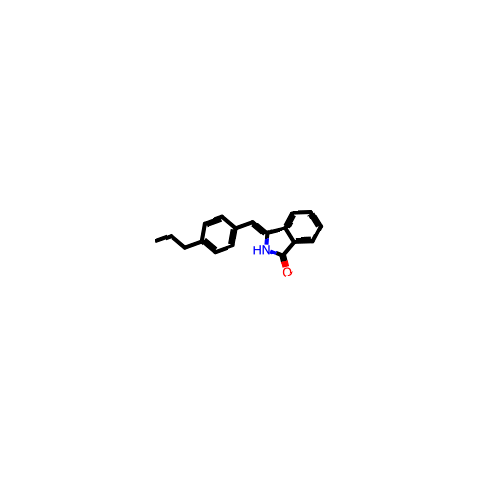 CCCc1ccc(C=C2NC(=O)c3ccccc32)cc1